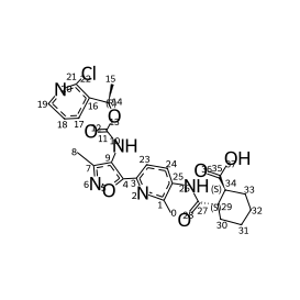 Cc1nc(-c2onc(C)c2NC(=O)O[C@H](C)c2cccnc2Cl)ccc1NC(=O)[C@H]1CCCC[C@@H]1C(=O)O